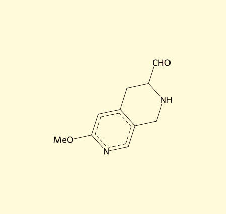 COc1cc2c(cn1)CNC(C=O)C2